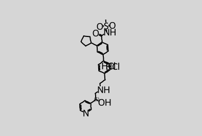 CS(=O)(=O)NC(=O)c1ccc(-c2ccc(CCNC[C@@H](O)c3cccnc3)cc2)cc1C1CCCC1.Cl.Cl